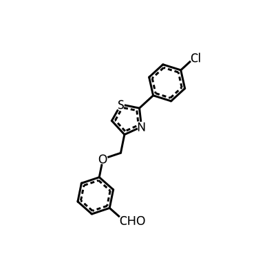 O=Cc1cccc(OCc2csc(-c3ccc(Cl)cc3)n2)c1